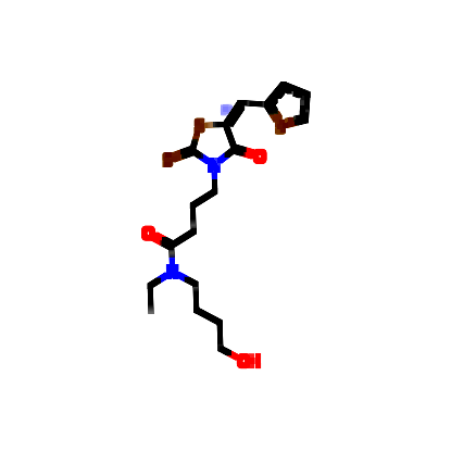 CCN(CCCCO)C(=O)CCCN1C(=O)/C(=C\c2cccs2)SC1=S